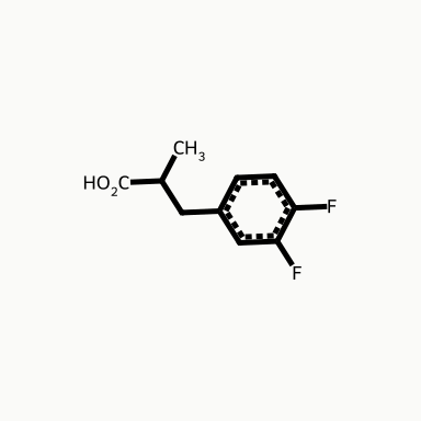 CC(Cc1ccc(F)c(F)c1)C(=O)O